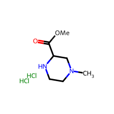 COC(=O)C1CN(C)CCN1.Cl.Cl